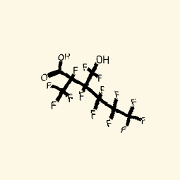 O=C(O)C(F)(C(F)(F)F)C(F)(C(O)(F)F)C(F)(F)C(F)(F)C(F)(F)F